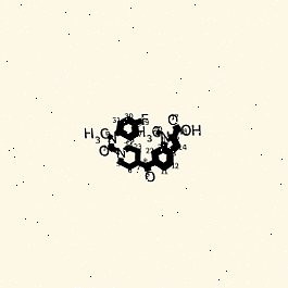 CN(C(=O)N1CCC(C(=O)c2ccc3cc(C(=O)O)n(C)c3c2)CC1)c1ccc(F)cc1